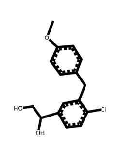 COc1ccc(Cc2cc(C(O)CO)ccc2Cl)cc1